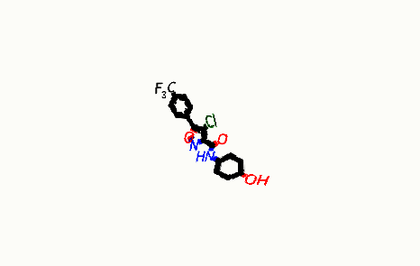 O=C(NC1CCC(O)CC1)c1noc(-c2ccc(C(F)(F)F)cc2)c1Cl